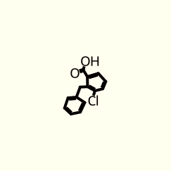 O=C(O)c1cccc(Cl)c1Cc1ccccc1